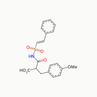 COc1ccc(CC(C(=O)O)C(=O)NS(=O)(=O)C=Cc2ccccc2)cc1